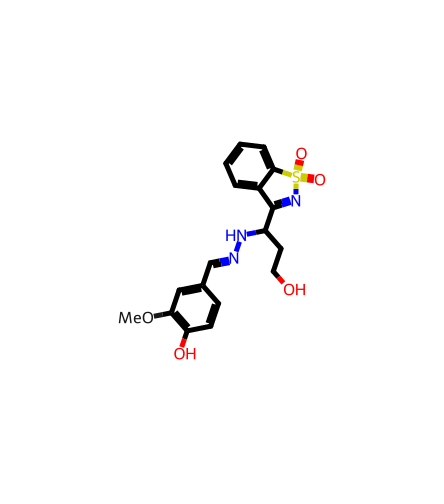 COc1cc(/C=N/NC(CCO)C2=NS(=O)(=O)c3ccccc32)ccc1O